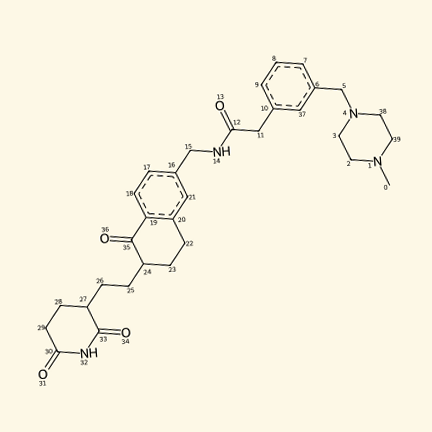 CN1CCN(Cc2cccc(CC(=O)NCc3ccc4c(c3)CCC(CCC3CCC(=O)NC3=O)C4=O)c2)CC1